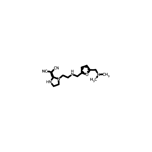 CN(C)Cc1ccc(CNCCN2CCNC2=C(C#N)C#N)o1